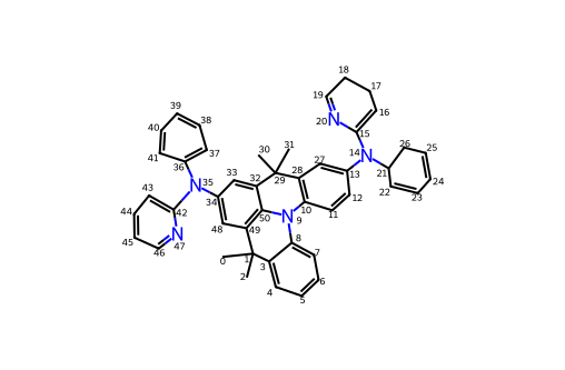 CC1(C)c2ccccc2N2c3ccc(N(C4=CCCC=N4)C4C=CC=CC4)cc3C(C)(C)c3cc(N(c4ccccc4)c4ccccn4)cc1c32